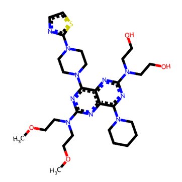 COCCN(CCOC)c1nc(N2CCN(c3nccs3)CC2)c2nc(N(CCO)CCO)nc(N3CCCCC3)c2n1